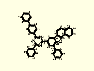 c1ccc(-c2ccc(-c3nc(-c4ccccc4)nc(-c4cc(-c5ccccc5)c5oc6c7ccccc7ccc6c5c4)n3)cc2)cc1